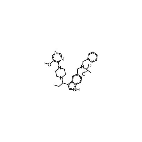 CCC(c1c[nH]c2ccc(CN(Cc3ccccc3)S(C)(=O)=O)cc12)N1CCN(c2ncncc2OC)CC1